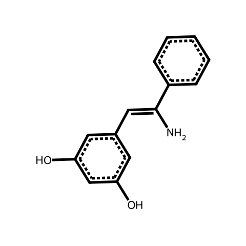 NC(=Cc1cc(O)cc(O)c1)c1ccccc1